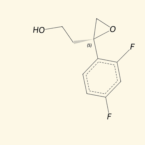 OCC[C@]1(c2ccc(F)cc2F)CO1